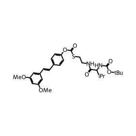 COc1cc(C=Cc2ccc(OC(=O)SCCNC(=O)C(NC(=O)OC(C)(C)C)C(C)C)cc2)cc(OC)c1